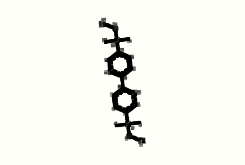 CCO[Si](C)(C)c1ccc(-c2ccc([Si](C)(C)OCC)cn2)nc1